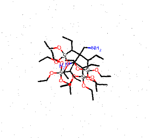 CCO[Si](OCC)(OCC)C(CC)C(N)(C(CC)[Si](OCC)(OCC)OCC)C(CN)(C(CC)[Si](OCC)(OCC)OCC)C(CC)[Si](OCC)(OCC)OCC